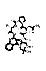 CCOCc1nc2c(NC(=O)[C@@H](NC(=O)[C@@H]3CCCN3C(=O)[C@H](CC(N)=O)NC(=O)OC(C)(C)C)C(C)C)nc3ccccc3c2n1CC(C)(C)O